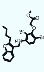 CCCCc1oc2ccccc2c1CNc1ccc(Br)c(OCC(=O)OC)c1Br